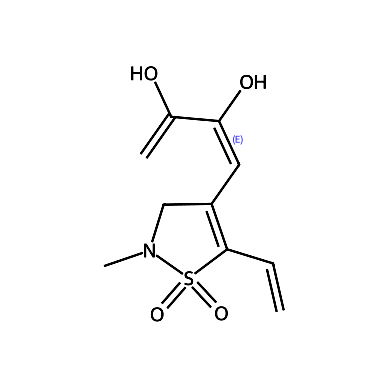 C=CC1=C(/C=C(/O)C(=C)O)CN(C)S1(=O)=O